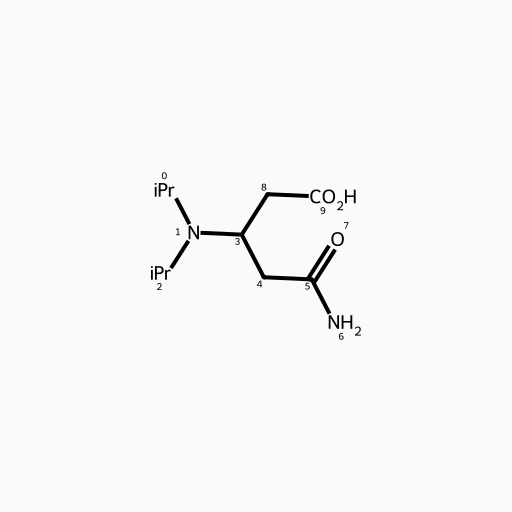 CC(C)N(C(C)C)C(CC(N)=O)CC(=O)O